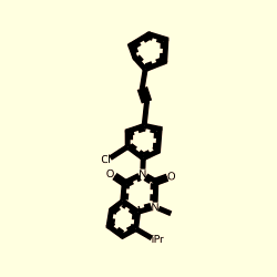 CC(C)c1cccc2c(=O)n(-c3ccc(C#Cc4ccccc4)cc3Cl)c(=O)n(C)c12